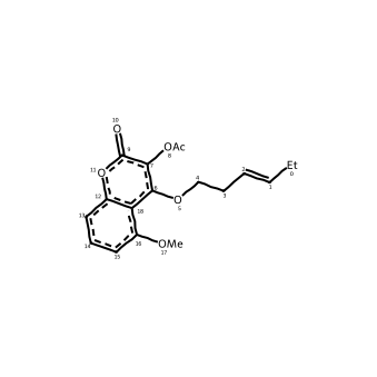 CCC=CCCOc1c(OC(C)=O)c(=O)oc2cccc(OC)c12